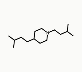 CC(C)CCC1CCN(CCC(C)C)CC1